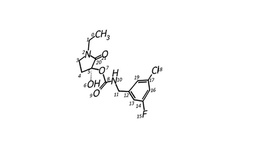 CCN1CC[C@](O)(OC(=O)NCc2cc(F)cc(Cl)c2)C1=O